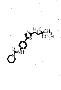 CC(C)(CCc1ncc(-c2ccc(NC(=O)N3CCCCC3)cc2)s1)C(=O)O